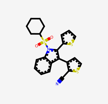 N#Cc1sccc1-c1c(-c2cccs2)n(S(=O)(=O)C2CCCCC2)c2ccccc12